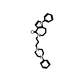 O=C1c2ccn(-c3ccccc3)c2CCCN1CCCN1CCN(c2ccccc2)CC1